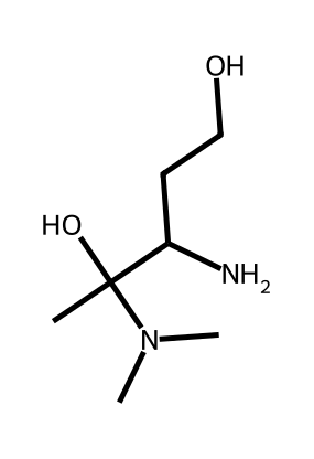 CN(C)C(C)(O)C(N)CCO